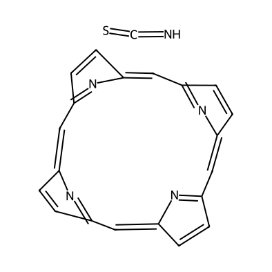 C1=CC2=NC1=CC1=NC(=CC3=NC(=CC4=NC(=C2)C=C4)C=C3)C=C1.N=C=S